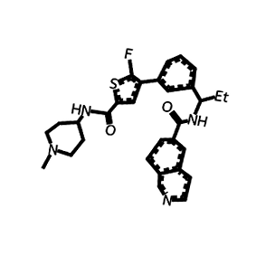 CCC(NC(=O)c1ccc2cnccc2c1)c1cccc(-c2cc(C(=O)NC3CCN(C)CC3)sc2F)c1